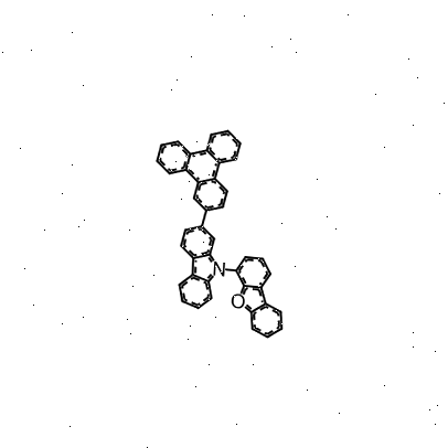 c1ccc2c(c1)oc1c(-n3c4ccccc4c4ccc(-c5ccc6c7ccccc7c7ccccc7c6c5)cc43)cccc12